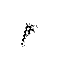 C=CNCCCCCCCC(C)C(CC)C(CC)CCC